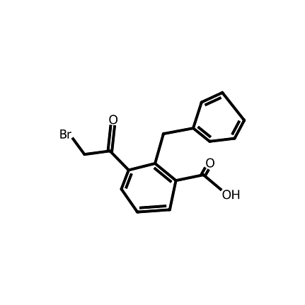 O=C(O)c1cccc(C(=O)CBr)c1Cc1ccccc1